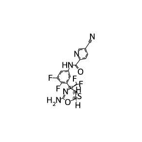 N#Cc1ccc(C(=O)Nc2cc(F)c(F)c([C@@]3(C(F)F)N=C(N)O[C@@H]4S[C@@H]43)c2)nc1